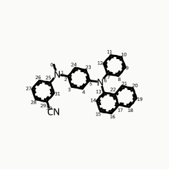 CN(c1ccc(N(c2ccccc2)c2cccc3ccccc23)cc1)c1cccc(C#N)c1